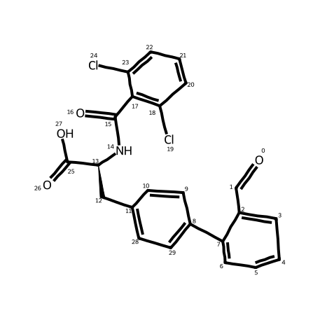 O=Cc1ccccc1-c1ccc(C[C@H](NC(=O)c2c(Cl)cccc2Cl)C(=O)O)cc1